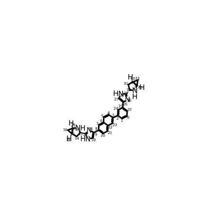 c1cc(-c2ccc3cc(-c4c[nH]c([C@H]5C[C@H]6C[C@@H]6N5)n4)ccc3c2)cc(-c2c[nH]c([C@@H]3C[C@H]4C[C@H]4N3)n2)c1